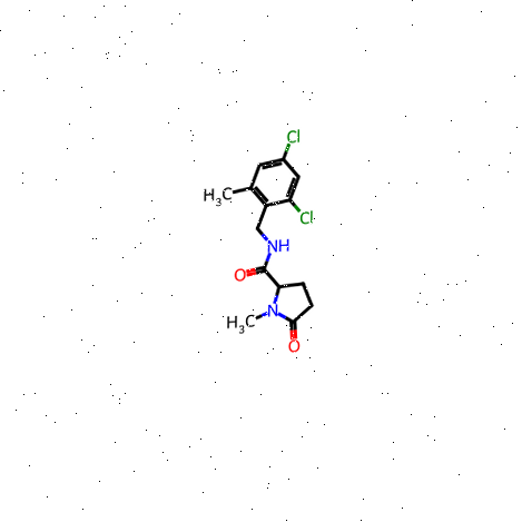 Cc1cc(Cl)cc(Cl)c1CNC(=O)C1CCC(=O)N1C